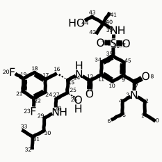 CCCN(CCC)C(=O)c1cc(C(=O)N[C@@H](Cc2cc(F)cc(F)c2)[C@H](O)CNCCC(C)C)cc(S(=O)(=O)NC(C)(C)CO)c1